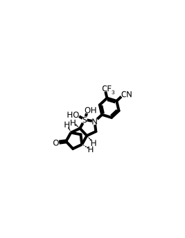 N#Cc1ccc(N2C[C@H]3[C@H]4CC(=O)[C@H](C4)[C@H]3S2(O)O)cc1C(F)(F)F